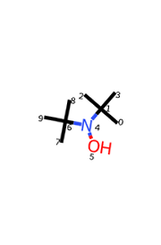 CC(C)(C)N(O)C(C)(C)C